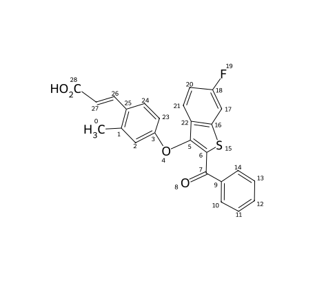 Cc1cc(Oc2c(C(=O)c3ccccc3)sc3cc(F)ccc23)ccc1/C=C/C(=O)O